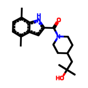 Cc1ccc(C)c2[nH]c(C(=O)N3CCC(CC(C)(C)O)CC3)cc12